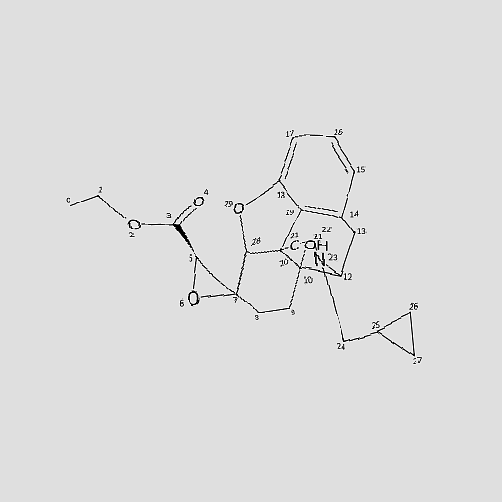 CCOC(=O)[C@@H]1OC12CCC1(O)C3Cc4cccc5c4C1(CCN3CC1CC1)C2O5